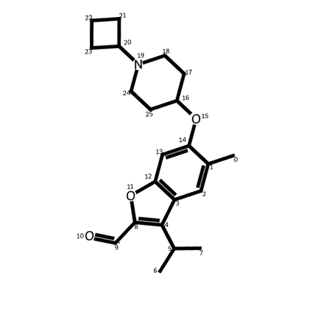 Cc1cc2c(C(C)C)c([C]=O)oc2cc1OC1CCN(C2CCC2)CC1